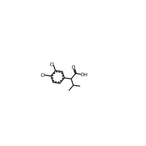 CC(C)C(C(=O)O)c1ccc(Cl)c(Cl)c1